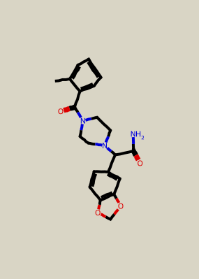 Cc1ccccc1C(=O)N1CCN(C(C(N)=O)c2ccc3c(c2)OCO3)CC1